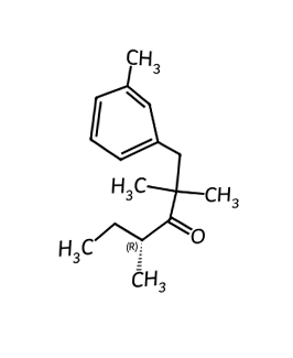 CC[C@@H](C)C(=O)C(C)(C)Cc1cccc(C)c1